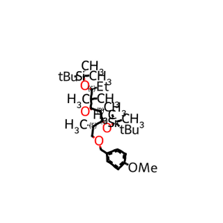 CC[C@H](O[Si](C)(C)C(C)(C)C)C(C)(C)C(=O)[C@H](C)[C@@H](O[Si](C)(C)C(C)(C)C)[C@@H](C)COCc1ccc(OC)cc1